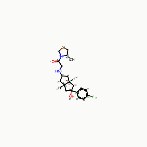 N#C[C@@H]1CSCN1C(=O)CNC1C[C@@H]2C[C@](O)(c3ccc(F)cc3)C[C@@H]2C1